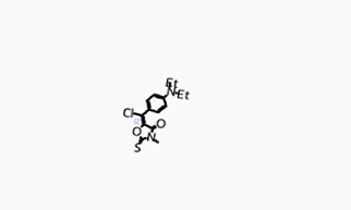 CCN(CC)c1ccc(/C(Cl)=C2/OC(=S)N(C)C2=O)cc1